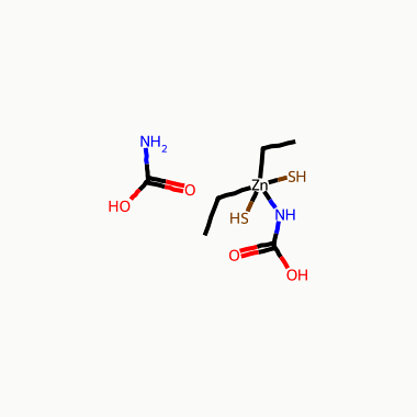 C[CH2][Zn]([SH])([SH])([CH2]C)[NH]C(=O)O.NC(=O)O